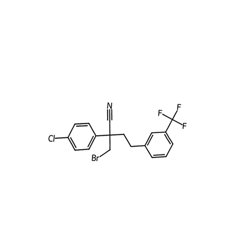 N#CC(CBr)(CCc1cccc(C(F)(F)F)c1)c1ccc(Cl)cc1